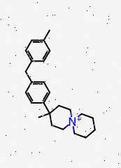 Cc1ccc(Cc2ccc(C3(C)CC[N+]4(CCCCC4)CC3)cc2)cc1